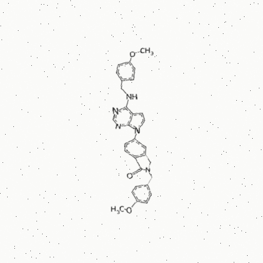 COc1ccc(CNc2ncnc3c2ccn3-c2ccc3c(c2)CN(Cc2ccc(OC)cc2)C3=O)cc1